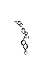 C[C@@H](C(=O)N1CC2CNCC(C2)C1)N1CC[C@@H](NCc2ccc3cc(Cl)ccc3c2)C1=O